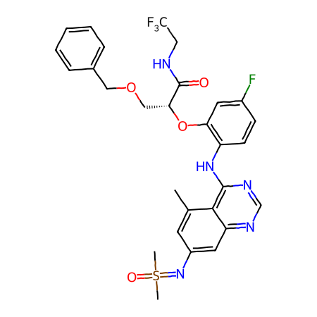 Cc1cc(N=S(C)(C)=O)cc2ncnc(Nc3ccc(F)cc3O[C@H](COCc3ccccc3)C(=O)NCC(F)(F)F)c12